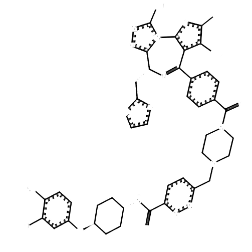 Cc1sc2c(c1C)C(c1ccc(C(=O)N3CCN(Cc4ccc(C(=O)N[C@H]5CC[C@H](Oc6ccc(C#N)c(Cl)c6)CC5)nn4)CC3)cc1)=N[C@H](Cc1ncco1)c1nnc(C)n1-2